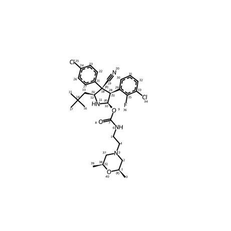 C[C@@H]1CN(CCNC(=O)O[C@H]2N[C@@H](CC(C)(C)C)[C@](C#N)(c3ccc(Cl)cc3)[C@H]2c2cccc(Cl)c2F)C[C@H](C)O1